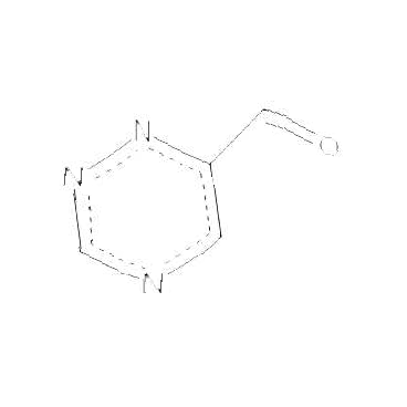 O=Cc1cncnn1